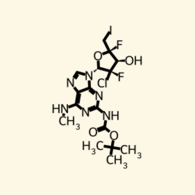 CNc1nc(NC(=O)OC(C)(C)C)nc2c1ncn2[C@@H]1O[C@](F)(CI)[C@@H](O)[C@]1(F)Cl